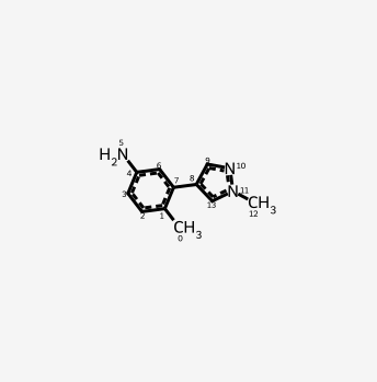 Cc1ccc(N)cc1-c1cnn(C)c1